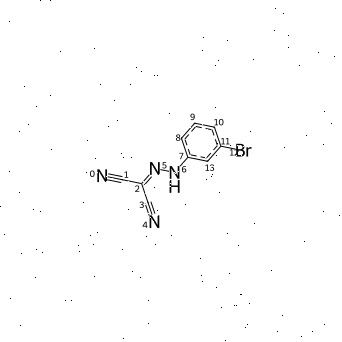 N#CC(C#N)=NNc1cccc(Br)c1